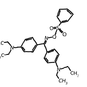 CCN(CC)c1ccc(C(=NOS(=O)(=O)c2ccccc2)c2ccc(N(CC)CC)cc2)cc1